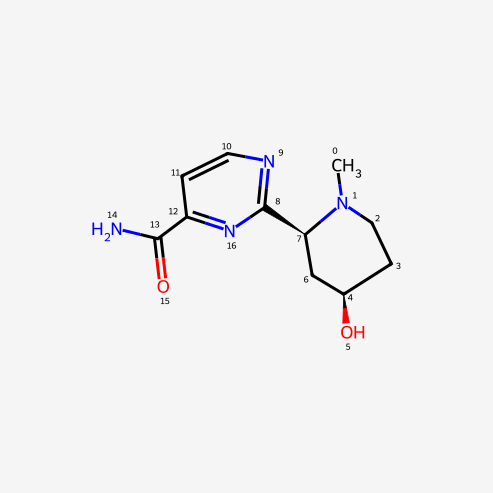 CN1CC[C@@H](O)C[C@H]1c1nccc(C(N)=O)n1